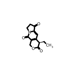 CC[C@H]1C(=O)OCc2c1cc1n(c2=O)CCC1=O